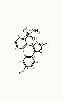 Cc1nc(-c2ccccc2S(N)(=O)=O)c(-c2ccc(F)cc2)o1